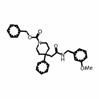 COc1cccc(CNC(=O)CC2(c3ccccc3)CCN(C(=O)OCc3ccccc3)CC2)c1